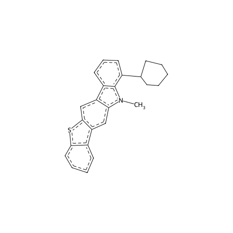 Cn1c2cc3c(cc2c2cccc(C4CCCCC4)c21)sc1ccccc13